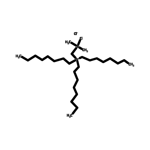 CCCCCCCC[N+](CCCCCCCC)(CCCCCCCC)C[Si](C)(C)Cl.[Cl-]